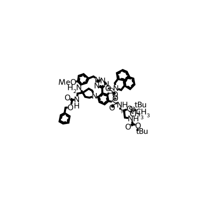 COc1ccc(Cn2nnc(-c3c(N4CCC(N)(CNC(=O)OCc5ccccc5)CC4)ccc(S(=O)(=O)NC[C@@H](CNC(=O)OC(C)(C)C)O[Si](C)(C)C(C)(C)C)c3S(=O)(=O)N(Cc3ccccc3)Cc3ccccc3)n2)cc1